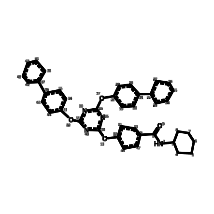 O=C(NC1CCCCC1)c1ccc(Oc2nc(Oc3ccc(-c4ccccc4)cc3)nc(Oc3ccc(-c4ccccc4)cc3)n2)cc1